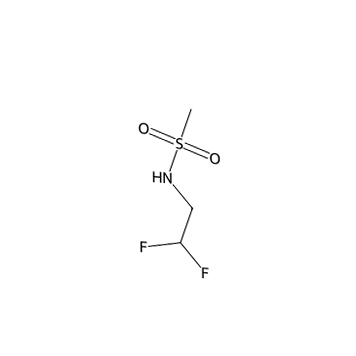 CS(=O)(=O)NCC(F)F